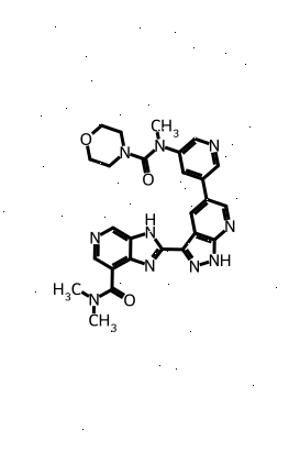 CN(C)C(=O)c1cncc2[nH]c(-c3n[nH]c4ncc(-c5cncc(N(C)C(=O)N6CCOCC6)c5)cc34)nc12